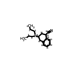 CCCN(CCC)C1Cc2ccccc2C(C#N)C1